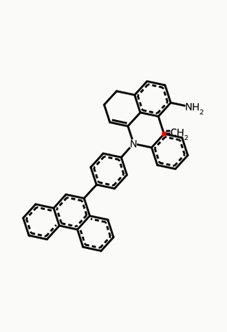 C=Cc1c(N)ccc2c1C(N(c1ccccc1)c1ccc(-c3cc4ccccc4c4ccccc34)cc1)=CCC2